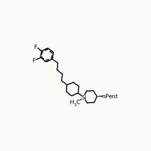 CCCCC[C@H]1CC[Si@](C)(C2CCC(CCCCc3ccc(F)c(F)c3)CC2)CC1